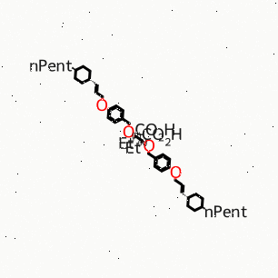 CCCCC[C@H]1CC[C@H](C=CCOc2ccc(CO[C@@](CC)(C(=O)O)[C@@](CC)(OCc3ccc(OCC=C[C@H]4CC[C@H](CCCCC)CC4)cc3)C(=O)O)cc2)CC1